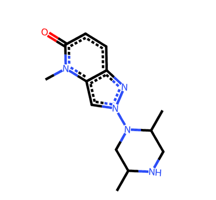 CC1CN(n2cc3c(ccc(=O)n3C)n2)C(C)CN1